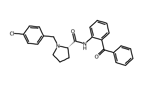 O=C(c1ccccc1)c1ccccc1NC(=O)[C@@H]1CCCN1Cc1ccc(Cl)cc1